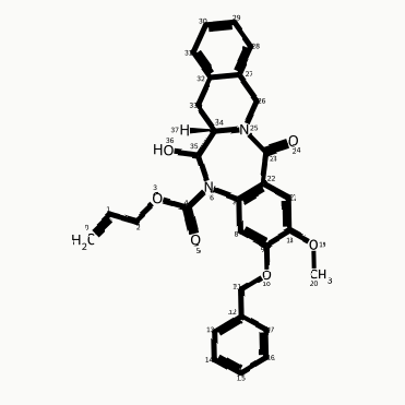 C=CCOC(=O)N1c2cc(OCc3ccccc3)c(OC)cc2C(=O)N2Cc3ccccc3C[C@H]2C1O